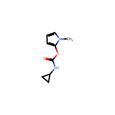 Cn1cccc1OC(=O)NC1CC1